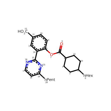 CCCCCCC1CCC(C(=O)Oc2ccc(C(=O)O)cc2-c2nccc(CCCCC)n2)CC1